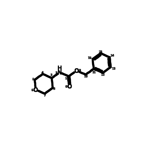 O=C(NC1CCOCC1)OCc1ccccc1